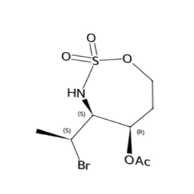 CC(=O)O[C@@H]1CCOS(=O)(=O)N[C@@H]1[C@H](C)Br